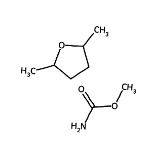 CC1CCC(C)O1.COC(N)=O